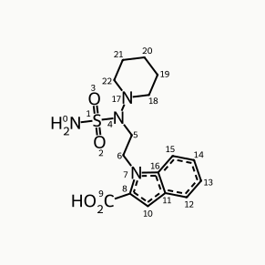 NS(=O)(=O)N(CCn1c(C(=O)O)cc2ccccc21)N1CCCCC1